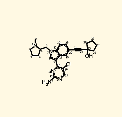 CN1CCCC1Cn1cc(-c2nc(N)ncc2Cl)c2cc(C#CC3(O)CCCC3)ccc21